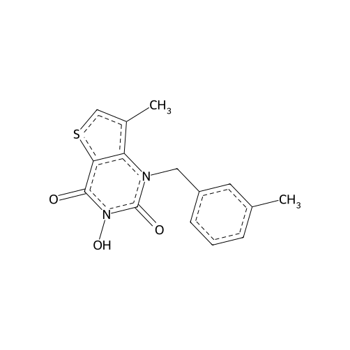 Cc1cccc(Cn2c(=O)n(O)c(=O)c3scc(C)c32)c1